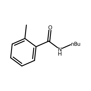 CCCCNC(=O)c1ccccc1C